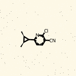 C[C@@H]1C(c2ccc(C#N)c(Cl)n2)[C@@H]1C